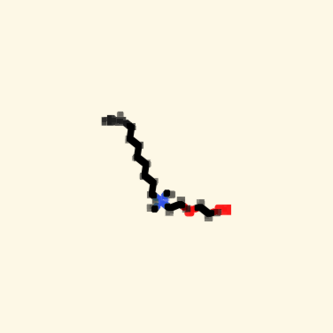 CCCCCCCCCCCCCCCCCC[N+](C)(C)CCOCCO